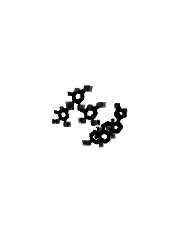 C[C@H]1OC(O)C[C@H](O)[C@@H]1O.C[C@H]1OC(O)C[C@H](O)[C@@H]1O.C[C@H]1OC(O)C[C@H](O)[C@@H]1O.C[C@]12CC[C@H](O)C[C@H]1CC[C@@H]1[C@@H]2CC[C@]2(C)[C@@H](C3=CC(=O)OC3)CC[C@@H]12